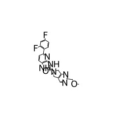 COCc1ncc2c(n1)CN(C(=O)Nc1nc(-c3ccc(F)cc3F)ccc1N)C2